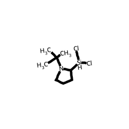 CC(C)(C)N1CCCC1[SiH](Cl)Cl